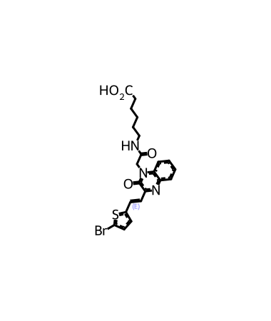 O=C(O)CCCCCNC(=O)Cn1c(=O)c(/C=C/c2ccc(Br)s2)nc2ccccc21